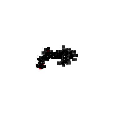 C/C=C(/C)C(=O)O[C@@H]1C(O)[C@H](C[C@H]2[C@H](O)[C@@]3(COC(C)=O)C(CC2(C)C)C2=CCC4[C@@]5(C)CC[C@H](O[C@@H]6OC(C(=O)O)[C@@H](O)[C@@H](O[C@@H]7O[C@@H](CO)C(O)[C@@H]7O)C6O[C@@H]6OC(CO)[C@H](O)[C@@H](O)C6O)C(C)(C)C5CC[C@@]4(C)[C@]2(C)C[C@H]3O)OC(C)[C@@H]1OC(=O)/C(C)=C\C